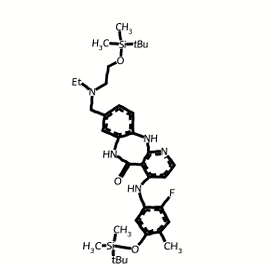 CCN(CCO[Si](C)(C)C(C)(C)C)Cc1ccc2c(c1)NC(=O)c1c(Nc3cc(O[Si](C)(C)C(C)(C)C)c(C)cc3F)ccnc1N2